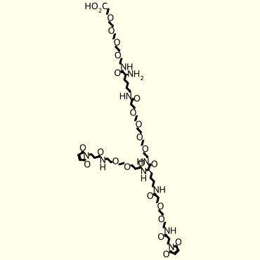 N[C@@H](CCCCNC(=O)CCOCCOCCOCCOCCNC(=O)[C@@H](CCCCNC(=O)CCOCCOCCNC(=O)CCN1C(=O)C=CC1=O)NC(=O)CCOCCOCCNC(=O)CCN1C(=O)C=CC1=O)C(=O)NCCOCCOCCOCCOCCC(=O)O